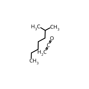 C=C=O.CCCCCC(C)C